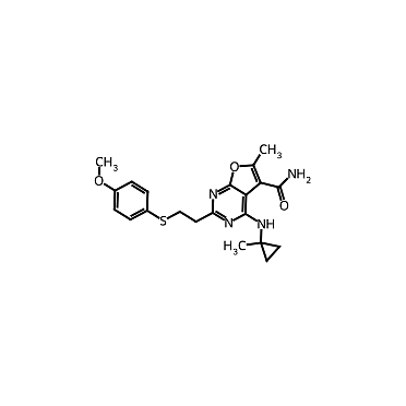 COc1ccc(SCCc2nc(NC3(C)CC3)c3c(C(N)=O)c(C)oc3n2)cc1